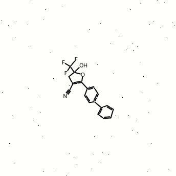 N#CC1=C(c2ccc(-c3ccccc3)cc2)OC(O)(C(F)(F)F)C1